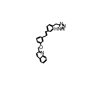 C(=C\c1cccc(OCc2ccc3ccccc3n2)c1)/c1ccc(Cc2nnn[nH]2)cc1